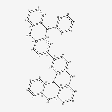 c1ccc(N2c3ccccc3Oc3ccc(-c4ccc5c(c4)N4c6ccccc6Oc6cccc(c64)O5)cc32)cc1